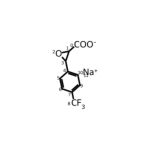 O=C([O-])C1OC1c1ccc(C(F)(F)F)cc1.[Na+]